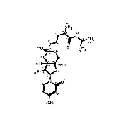 Cc1ccn([C@@H]2S[C@@H]3CO[P@](=O)(OCC[C@@H](C)C(=O)OC(C)C)O[C@H]3[C@@H]2F)c(=O)n1